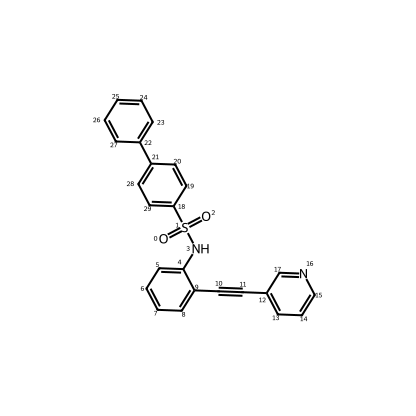 O=S(=O)(Nc1ccccc1C#Cc1cccnc1)c1ccc(-c2ccccc2)cc1